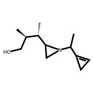 CC(C1=CC1)N1CC1[C@@H](C)[C@H](C)CO